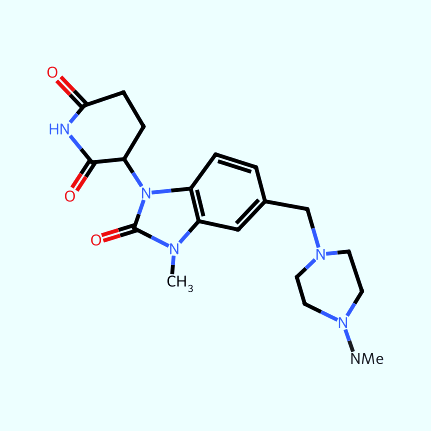 CNN1CCN(Cc2ccc3c(c2)n(C)c(=O)n3C2CCC(=O)NC2=O)CC1